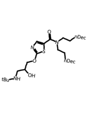 CCCCCCCCCCCCN(CCCCCCCCCCCC)C(=O)c1cnc(OCC(O)CNC(C)(C)C)s1